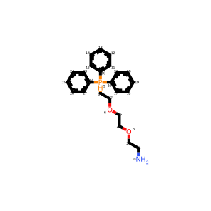 NCCOCCOCC[PH](c1ccccc1)(c1ccccc1)c1ccccc1